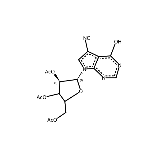 [C-]#[N+]c1cn([C@@H]2OC(COC(C)=O)C(OC(C)=O)[C@H]2OC(C)=O)c2ncnc(O)c12